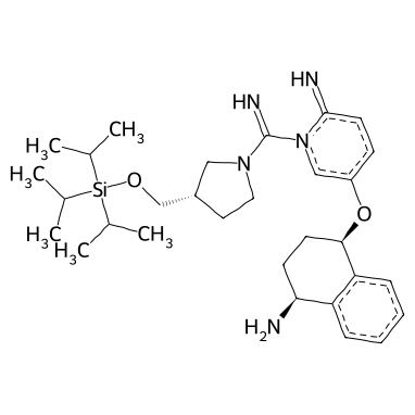 CC(C)[Si](OC[C@H]1CCN(C(=N)n2cc(O[C@@H]3CC[C@H](N)c4ccccc43)ccc2=N)C1)(C(C)C)C(C)C